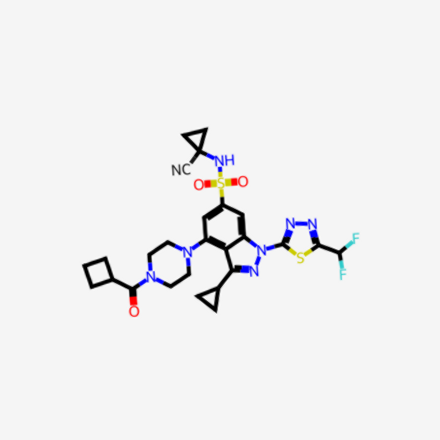 N#CC1(NS(=O)(=O)c2cc(N3CCN(C(=O)C4CCC4)CC3)c3c(C4CC4)nn(-c4nnc(C(F)F)s4)c3c2)CC1